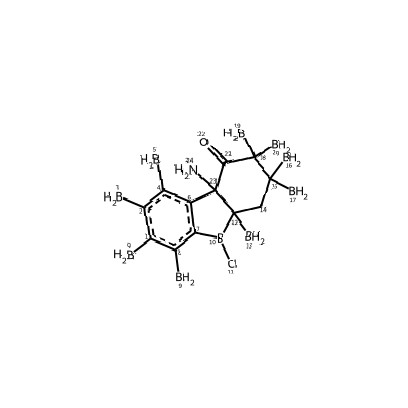 Bc1c(B)c(B)c2c(c1B)B(Cl)C1(B)CC(B)(B)C(B)(B)C(=O)C21N